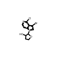 OC1CCOC1n1cc(Br)c2c(Cl)nccc21